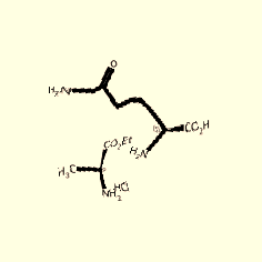 CCOC(=O)[C@H](C)N.Cl.NC(=O)CC[C@H](N)C(=O)O